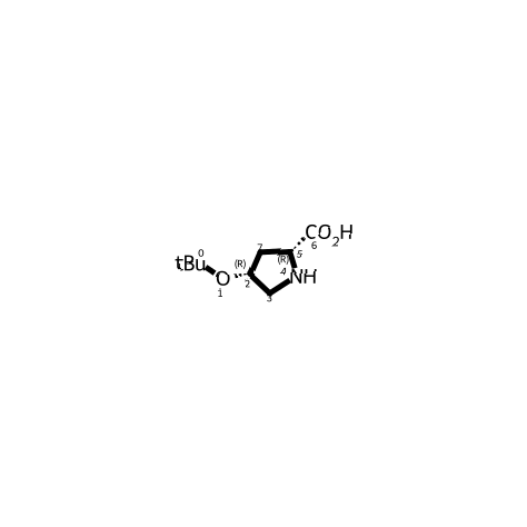 CC(C)(C)O[C@H]1CN[C@@H](C(=O)O)C1